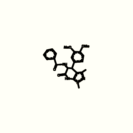 COc1ccc(C2c3c(C)nn(C)c3NC(=O)C2NC(=O)c2ccccc2)cc1OC